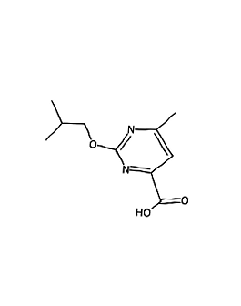 Cc1cc(C(=O)O)nc(OCC(C)C)n1